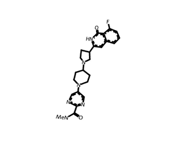 CNC(=O)c1ncc(N2CCC(N3CCC(c4cc5cccc(F)c5c(=O)[nH]4)C3)CC2)cn1